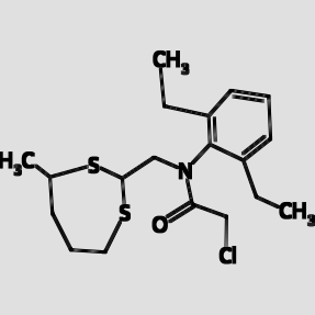 CCc1cccc(CC)c1N(CC1SCCCC(C)S1)C(=O)CCl